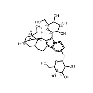 CC[C@H]1C[C@H]2C[C@H]3c4c(c5cc(O[C@H]6OC(CO)[C@@H](O)[C@H](O)C6O)ccc5n4[C@H]4O[C@@H](CO)C(O)[C@H](O)C4O)CCN(C2)C13